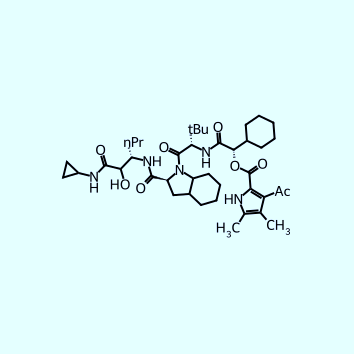 CCC[C@H](NC(=O)[C@@H]1CC2CCCCC2N1C(=O)[C@@H](NC(=O)[C@@H](OC(=O)c1[nH]c(C)c(C)c1C(C)=O)C1CCCCC1)C(C)(C)C)C(O)C(=O)NC1CC1